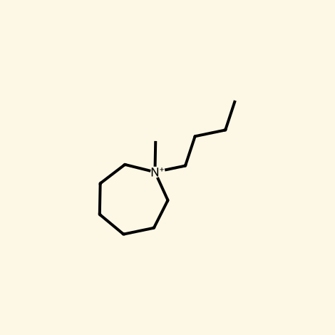 CCCC[N+]1(C)CCCCCC1